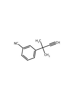 C#CC(C)(C)c1cccc(C#N)c1